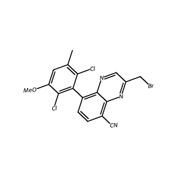 COc1cc(C)c(Cl)c(-c2ccc(C#N)c3nc(CBr)cnc23)c1Cl